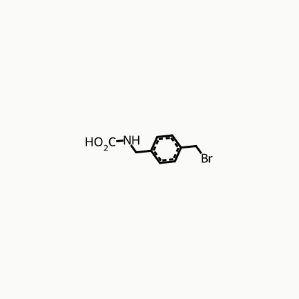 O=C(O)NCc1ccc(CBr)cc1